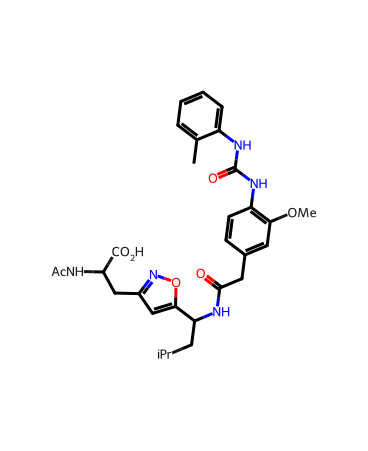 COc1cc(CC(=O)NC(CC(C)C)c2cc(CC(NC(C)=O)C(=O)O)no2)ccc1NC(=O)Nc1ccccc1C